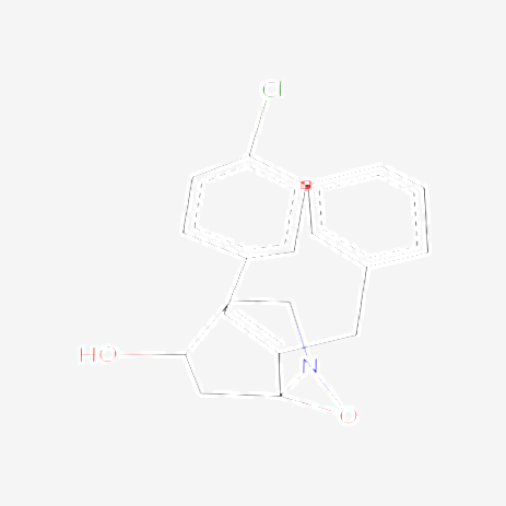 OC1CCN2OC2(C(=Cc2ccc(Cl)cc2)Cc2ccccc2)C1